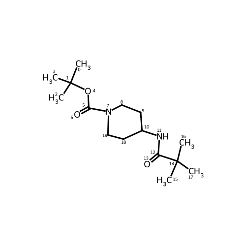 CC(C)(C)OC(=O)N1CCC(NC(=O)C(C)(C)C)CC1